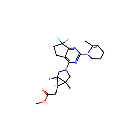 COC(=O)C[C@H]1[C@@H]2CN(c3nc(N4CCCC=C4C)nc4c3CCC4(F)F)C[C@]12C